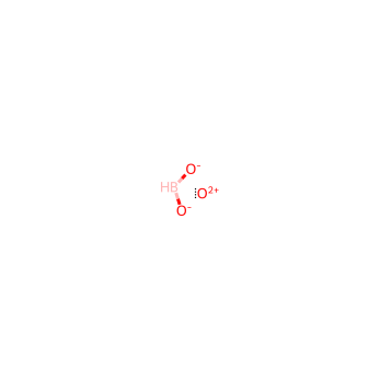 [O+2].[O-]B[O-]